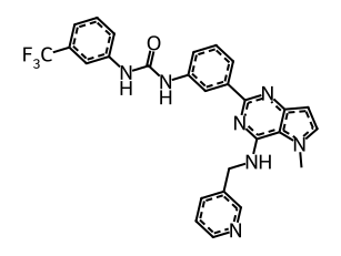 Cn1ccc2nc(-c3cccc(NC(=O)Nc4cccc(C(F)(F)F)c4)c3)nc(NCc3cccnc3)c21